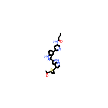 CCCC(=O)Nc1cncc(-c2ccc3[nH]nc(-c4cc5c(-c6ccc(C(C)=O)s6)ccnc5[nH]4)c3c2)c1